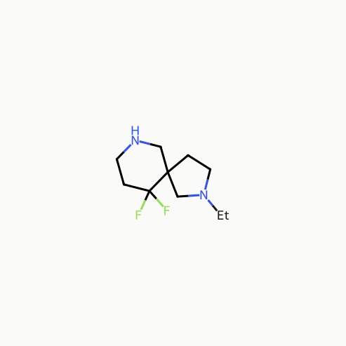 CCN1CCC2(CNCCC2(F)F)C1